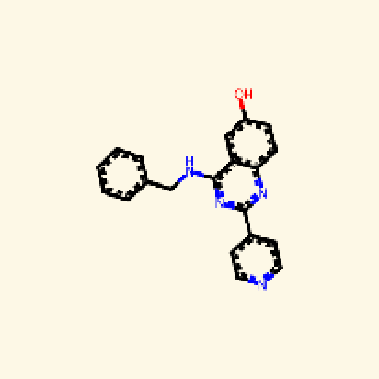 Oc1ccc2nc(-c3ccncc3)nc(NCc3ccccc3)c2c1